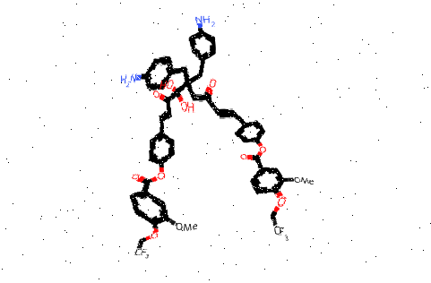 COc1cc(C(=O)Oc2ccc(C=CC(=O)CC(Cc3ccc(N)cc3)(Cc3ccc(N)cc3)C(O)(O)C(=O)C=Cc3ccc(OC(=O)c4ccc(OCC(F)(F)F)c(OC)c4)cc3)cc2)ccc1OCC(F)(F)F